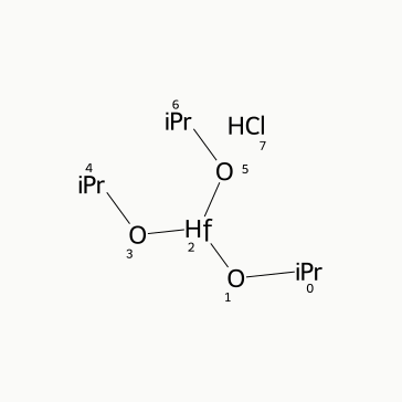 CC(C)[O][Hf]([O]C(C)C)[O]C(C)C.Cl